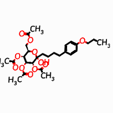 CCCOc1ccc(CCCC[C@@]2(O)O[C@H](COC(C)=O)[C@@H](OC(C)=O)[C@H](OC(C)=O)[C@H]2OC(C)=O)cc1